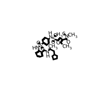 Cc1oc(S(=O)(=O)Nc2ccc(S(=O)(=O)Nc3ccccc3CN[C@@H](C)CC3CCCC3)cc2)cc1C(=O)N(C)C